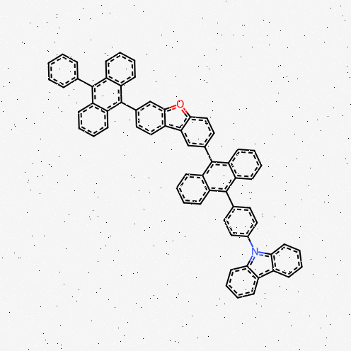 c1ccc(-c2c3ccccc3c(-c3ccc4c(c3)oc3ccc(-c5c6ccccc6c(-c6ccc(-n7c8ccccc8c8ccccc87)cc6)c6ccccc56)cc34)c3ccccc23)cc1